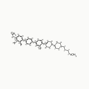 CCCCCC1CCC(C2CC=C(c3ccc(-c4ccc(-c5ccc(CC)c(F)c5F)cc4)cc3F)CC2)CC1